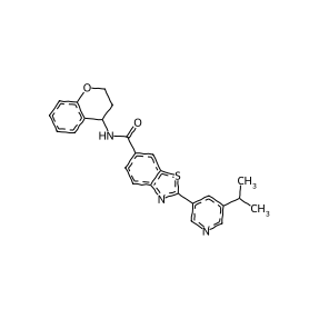 CC(C)c1cncc(-c2nc3ccc(C(=O)NC4CCOc5ccccc54)cc3s2)c1